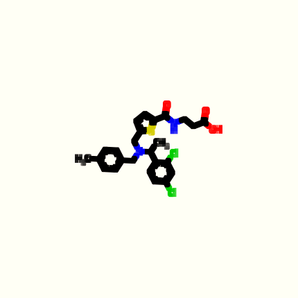 Cc1ccc(CN(Cc2ccc(C(=O)NCCC(=O)O)s2)C(C)c2ccc(Cl)cc2Cl)cc1